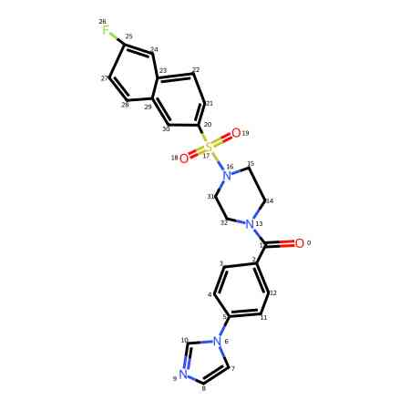 O=C(c1ccc(-n2ccnc2)cc1)N1CCN(S(=O)(=O)c2ccc3cc(F)ccc3c2)CC1